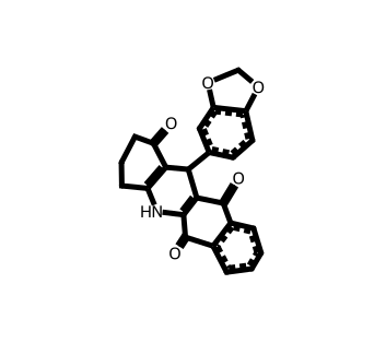 O=C1CCCC2=C1C(c1ccc3c(c1)OCO3)C1=C(N2)C(=O)c2ccccc2C1=O